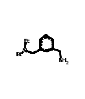 CCN(CC)Cc1cccc(CN)c1